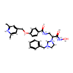 Cc1cc(COc2ccc(C(=O)NCC(C(=O)NO)N3CCN(Cc4ccccc4)C3)cc2)cc(C)n1